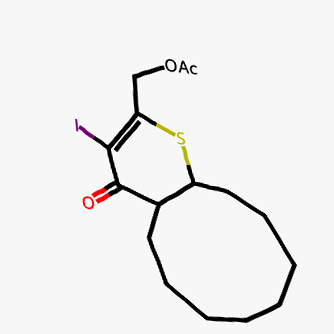 CC(=O)OCC1=C(I)C(=O)C2CCCCCCCCC2S1